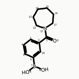 O=C(c1cccc(B(O)O)c1)N1CCCCCC1